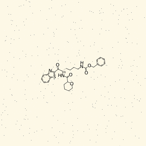 O=C(NCCCC[C@H](NC(=O)C1CCCCO1)C(=O)c1nc2ccccc2s1)OCc1ccccc1